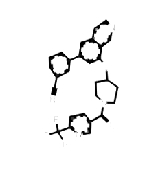 N#Cc1cccc(-c2cc(OC3CCN(C(=O)c4ccc(C(F)(F)F)nc4)CC3)c3cnccc3c2)c1